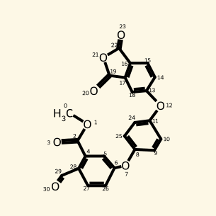 COC(=O)c1cc(Oc2ccc(Oc3ccc4c(c3)C(=O)OC4=O)cc2)ccc1C=O